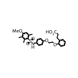 COc1cc(C)c(S(=O)(=O)Nc2ccc(OCCOc3ccccc3CCC(=O)O)cc2)c(C)c1C